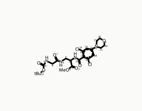 COC(=O)C(CNC(=O)CNC(=O)OC(C)(C)C)NC(=O)c1c(Cl)cc(N2CCOCC2)cc1Cl